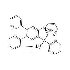 CC(C)(C)c1c(-c2ccccc2)c(-c2ccccc2)cc(CP)c1C(P)(c1ncccn1)c1ncccn1